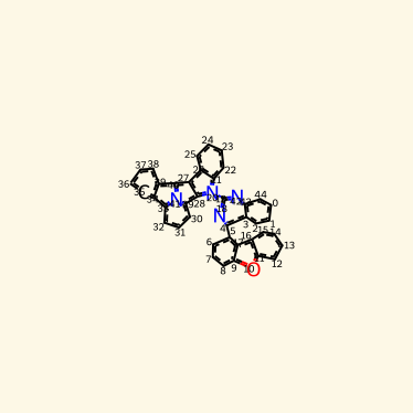 c1ccc2c(-c3cccc4oc5ccccc5c34)nc(-n3c4ccccc4c4c3c3cccc5c6ccccc6c4n53)nc2c1